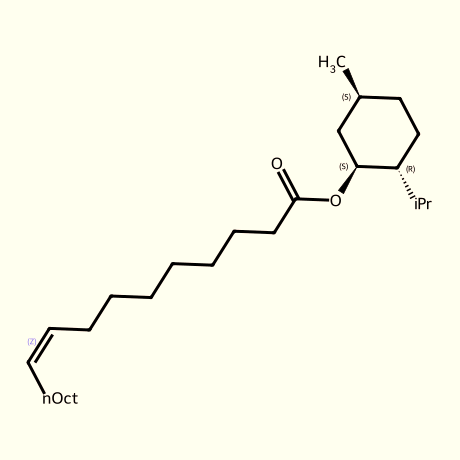 CCCCCCCC/C=C\CCCCCCCC(=O)O[C@H]1C[C@@H](C)CC[C@@H]1C(C)C